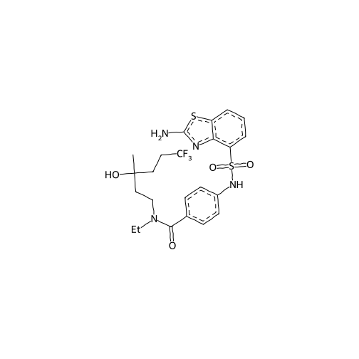 CCN(CCC(C)(O)CCC(F)(F)F)C(=O)c1ccc(NS(=O)(=O)c2cccc3sc(N)nc23)cc1